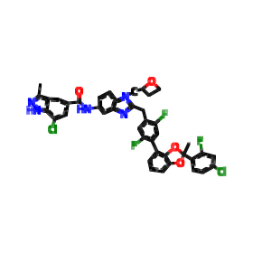 Cc1n[nH]c2c(Cl)cc(C(=O)Nc3ccc4c(c3)nc(Cc3cc(F)c(-c5cccc6c5OC(C)(c5ccc(Cl)cc5F)O6)cc3F)n4CC3CCO3)cc12